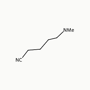 CNCCCCC#N